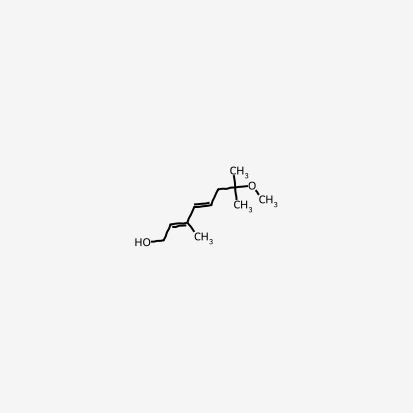 COC(C)(C)C/C=C/C(C)=C/CO